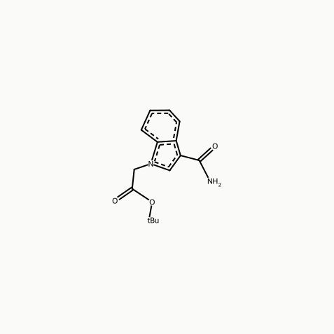 CC(C)(C)OC(=O)Cn1cc(C(N)=O)c2ccccc21